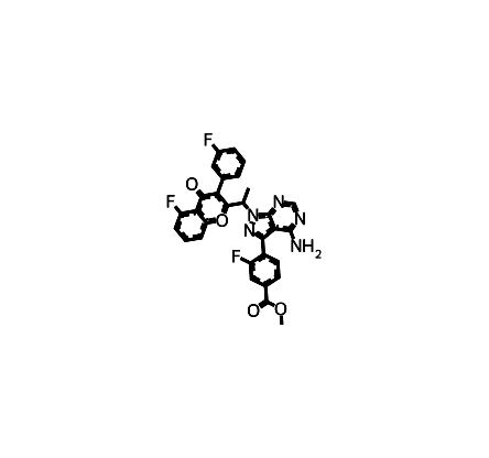 COC(=O)c1ccc(-c2nn(C(C)c3oc4cccc(F)c4c(=O)c3-c3cccc(F)c3)c3ncnc(N)c23)c(F)c1